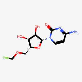 Nc1ccn([C@@H]2O[C@H](COCF)[C@@H](O)[C@H]2O)c(=O)n1